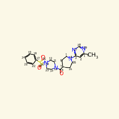 Cc1cc(N2CCC(C(=O)N3CCN(S(=O)(=O)c4ccccc4)CC3)CC2)ncn1